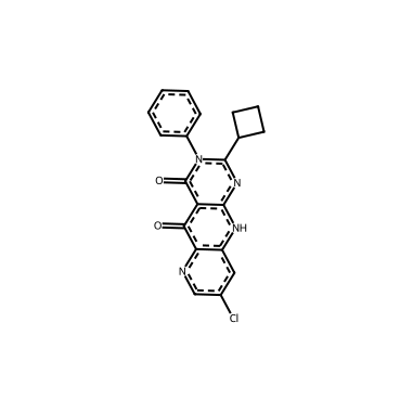 O=c1c2ncc(Cl)cc2[nH]c2nc(C3CCC3)n(-c3ccccc3)c(=O)c12